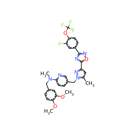 COc1ccc(CN(C)c2ccc(Cn3nc(-c4nc(-c5ccc(OC(F)(F)F)c(F)c5)no4)cc3C)cn2)cc1OC